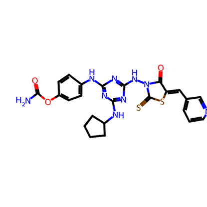 NC(=O)Oc1ccc(Nc2nc(NC3CCCC3)nc(NN3C(=O)/C(=C/c4cccnc4)SC3=S)n2)cc1